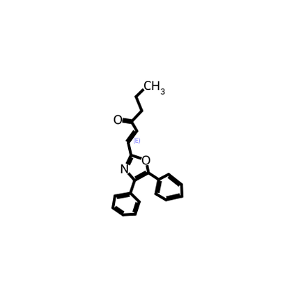 CCCC(=O)/C=C/c1nc(-c2ccccc2)c(-c2ccccc2)o1